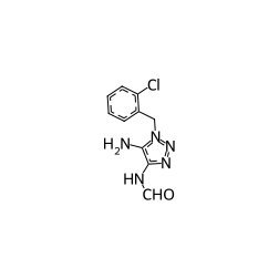 Nc1c(NC=O)nnn1Cc1ccccc1Cl